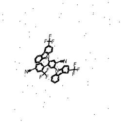 N#Cc1ccc(-c2cc(-n3c4ccccc4c4cc(C(F)(F)F)ccc43)c(C#N)cc2-n2c3ccccc3c3cc(C(F)(F)F)ccc32)c(C(F)(F)F)c1